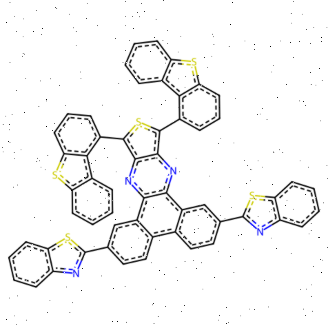 c1ccc2sc(-c3ccc4c5ccc(-c6nc7ccccc7s6)cc5c5nc6c(-c7cccc8sc9ccccc9c78)sc(-c7cccc8sc9ccccc9c78)c6nc5c4c3)nc2c1